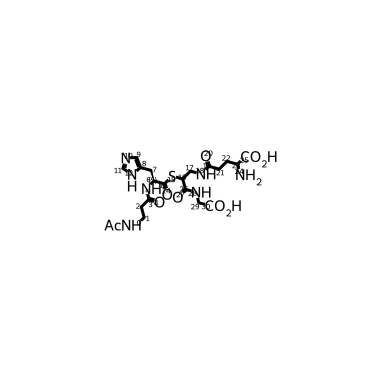 CC(=O)NCCC(=O)N[C@@H](Cc1cnc[nH]1)C(=O)SC(CNC(=O)CCC(N)C(=O)O)C(=O)NCC(=O)O